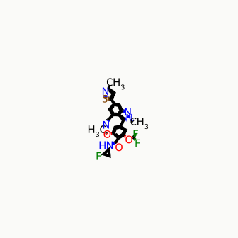 COc1cc(-c2c3c(C#N)cc(-c4cc(C)ns4)cc3nn2C)cc(OC(F)F)c1C(=O)N[C@@H]1C[C@@H]1F